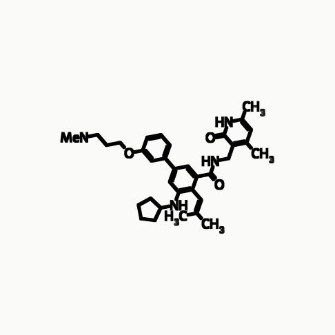 CNCCCOc1cccc(-c2cc(NC3CCCC3)c(C=C(C)C)c(C(=O)NCc3c(C)cc(C)[nH]c3=O)c2)c1